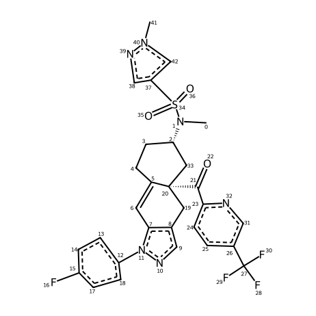 CN([C@H]1CCC2=Cc3c(cnn3-c3ccc(F)cc3)C[C@]2(C(=O)c2ccc(C(F)(F)F)cn2)C1)S(=O)(=O)c1cnn(C)c1